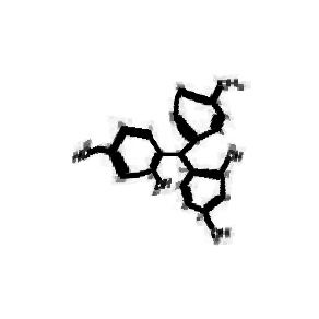 Cc1ccc(C(c2ccc(O)cc2O)c2ccc(O)cc2O)cc1